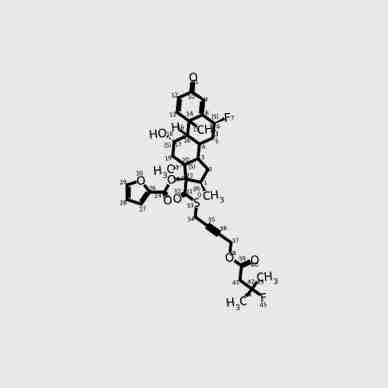 C[C@@H]1CC2C3C[C@H](F)C4=CC(=O)C=CC4(C)[C@H]3[C@@H](O)C[C@]2(C)[C@@]1(OC(=O)c1ccco1)C(=O)SCC#CCOC(=O)CC(C)(C)F